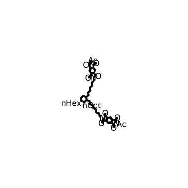 CCCCCCCCC1C(CCCCCC)CCC(CCCCCCCn2c(=O)c3cc4c(=O)n(C(C)=O)c(=O)c4cc3c2=O)C1CCCCCCCCn1c(=O)c2cc3c(=O)n(C(C)=O)c(=O)c3cc2c1=O